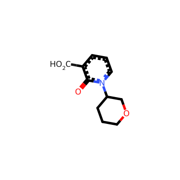 O=C(O)c1cccn(C2CCCOC2)c1=O